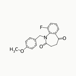 COc1ccc(CN2C(=O)CCC(=O)c3cccc(F)c32)cc1